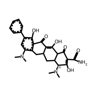 CN(C)c1cc(-c2ccccc2)c(O)c2c1CC1CC3C(C(=O)C(C(N)=O)=C(O)[C@H]3N(C)C)C(O)=C1C2=O